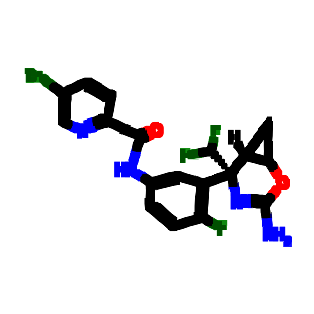 NC1=N[C@](c2cc(NC(=O)c3ccc(Br)cn3)ccc2F)(C(F)F)[C@@H]2CC2O1